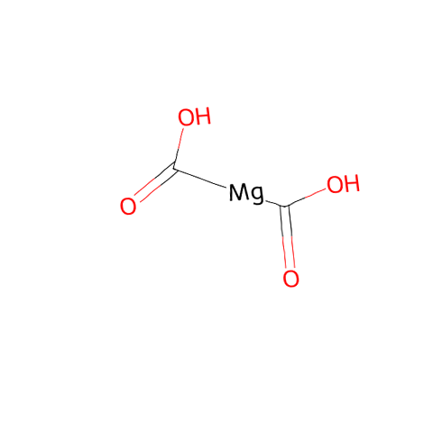 O=[C](O)[Mg][C](=O)O